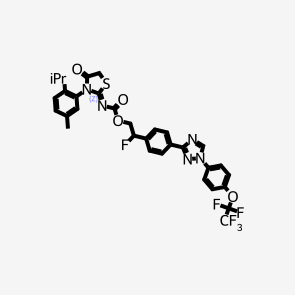 Cc1ccc(C(C)C)c(N2C(=O)CS/C2=N\C(=O)OCC(F)c2ccc(-c3ncn(-c4ccc(OC(F)(F)C(F)(F)F)cc4)n3)cc2)c1